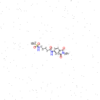 CC(C)N1C(=O)c2ccc(NC(=O)CCCCNS(=O)(=O)C(C)(C)C)cc2C1=O